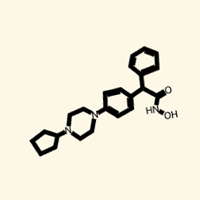 O=C(NO)C(c1ccccc1)c1ccc(N2CCN(C3CCCC3)CC2)cc1